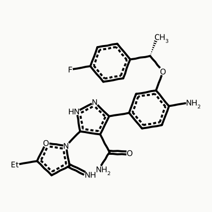 CCc1cc(=N)n(-c2[nH]nc(-c3ccc(N)c(O[C@@H](C)c4ccc(F)cc4)c3)c2C(N)=O)o1